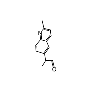 Cc1ccc2cc(C(C)C=O)ccc2n1